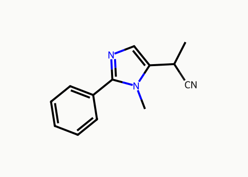 CC(C#N)c1cnc(-c2ccccc2)n1C